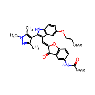 CNC(=O)Nc1ccc2c(c1)C(=O)/C(=C/c1c(-c3c(C)nn(C)c3C)[nH]c3ccc(OCCOC)cc13)O2